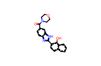 O=C(c1ccc2nc(-c3ccc4ccccc4c3O)[nH]c2c1)N1CCOCC1